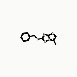 Cc1csc2nc(SCc3ccccc3)nn12